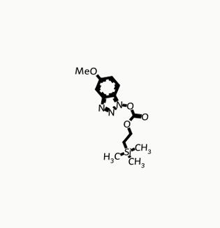 COc1ccc2c(c1)nnn2OC(=O)OCC[Si](C)(C)C